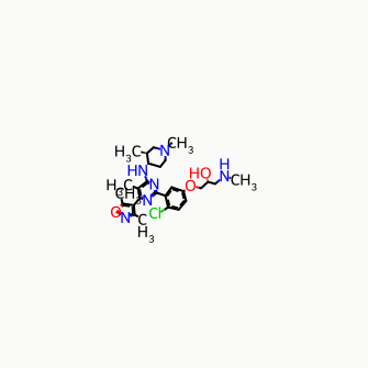 CNC[C@@H](O)COc1ccc(Cl)c(-c2nc(N[C@@H]3CCN(C)C[C@@H]3C)c(C)c(-c3c(C)noc3C)n2)c1